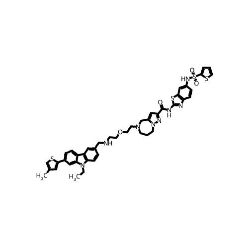 CCn1c2ccc(CNCCOCCN3CCCn4nc(C(=O)Nc5nc6ccc(NS(=O)(=O)c7cccs7)cc6s5)cc4C3)cc2c2ccc(-c3cc(C)cs3)cc21